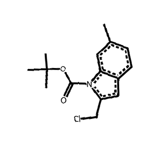 Cc1ccc2cc(CCl)n(C(=O)OC(C)(C)C)c2c1